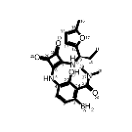 Bc1ccc(Nc2c(N[C@H](CC)c3ccc(C)o3)c(=O)c2=O)c(O)c1C(=O)N(C)C